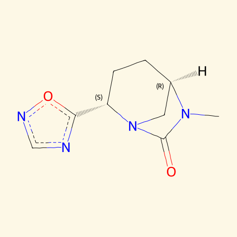 CN1C(=O)N2C[C@H]1CC[C@H]2c1ncno1